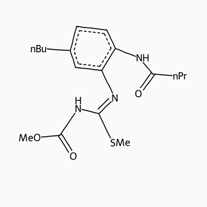 CCCCc1ccc(NC(=O)CCC)c(N=C(NC(=O)OC)SC)c1